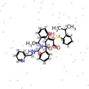 CC(C)c1ccccc1SC1=C(O)CC(c2ccccc2)(N(C(=O)NCc2ccccn2)C(C)c2ccccc2)OC1=O